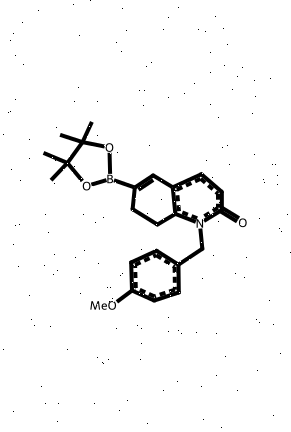 COc1ccc(Cn2c3c(ccc2=O)C=C(B2OC(C)(C)C(C)(C)O2)CC3)cc1